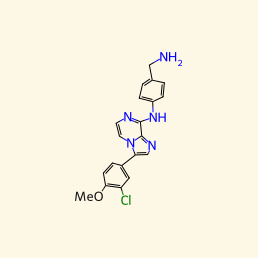 COc1ccc(-c2cnc3c(Nc4ccc(CN)cc4)nccn23)cc1Cl